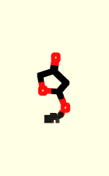 CCCOC1CC(=O)CO1